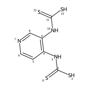 S=C(S)Nc1ccncc1NC(=S)S